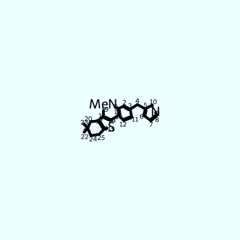 CNc1cc(Cc2cccnc2)ccc1-c1sc2c(c1C)CC(C)(C)CC2